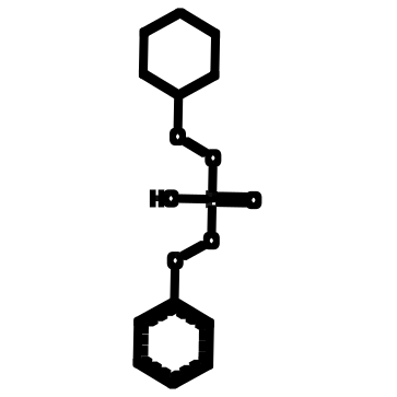 O=P(O)(OOc1ccccc1)OOC1CCCCC1